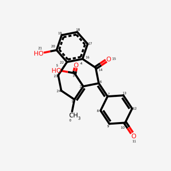 C/C1=C(/C(=O)O)C(=C2C=CC(=O)C=C2)C(=O)c2cccc(O)c2CC1